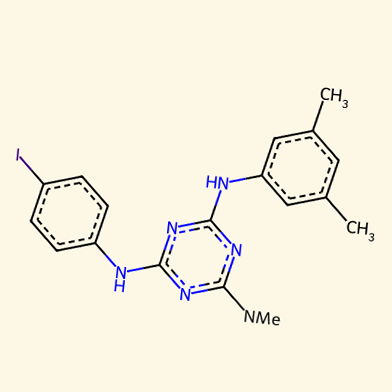 CNc1nc(Nc2ccc(I)cc2)nc(Nc2cc(C)cc(C)c2)n1